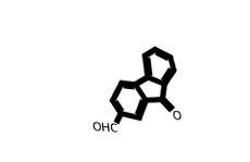 O=Cc1ccc2c(c1)C(=O)c1ccccc1-2